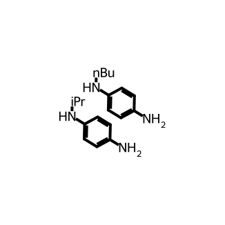 CC(C)Nc1ccc(N)cc1.CCCCNc1ccc(N)cc1